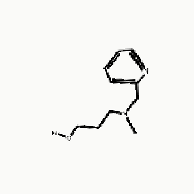 CCOCCCN(C)Cc1ccccn1